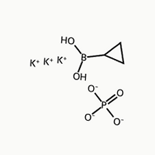 O=P([O-])([O-])[O-].OB(O)C1CC1.[K+].[K+].[K+]